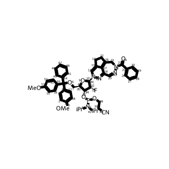 COc1ccc(C(OC[C@H]2O[C@@H](N3C=C4CCC5=C4C(=N3)C=NN(C(=O)c3ccccc3)C5)[C@H](F)[C@@H]2OP(OCCC#N)N(C(C)C)C(C)C)(c2ccccc2)c2ccc(OC)cc2)cc1